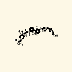 Cc1c(NC(=O)c2nc3c(n2C)CCN(C[C@H](C)O)C3)cccc1-c1cccc(Sc2cn(CC3CN(CCO)C3)cn2)c1Cl